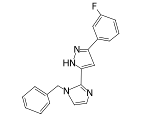 Fc1cccc(-c2cc(-c3nccn3Cc3ccccc3)[nH]n2)c1